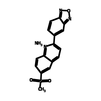 CS(=O)(=O)c1ccc2nc(-c3ccc4nonc4c3)ccc2c1.N